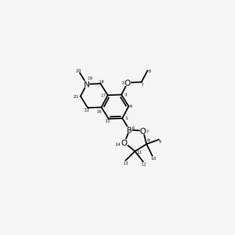 CCOc1cc(B2OC(C)(C)C(C)(C)O2)cc2c1CN(C)CC2